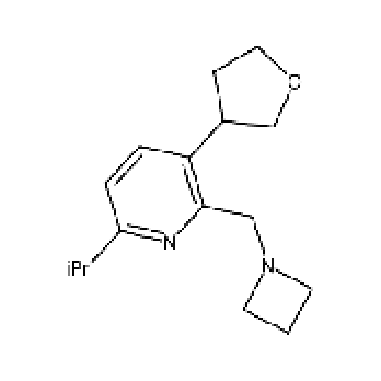 CC(C)c1ccc(C2CCOC2)c(CN2CCC2)n1